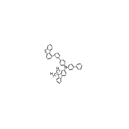 CC1(C)c2ccccc2-c2ccc(N(c3ccc(-c4ccccc4)cc3)c3ccc(-c4cccc(-c5cccc6sc7ccccc7c56)c4)cc3)cc21